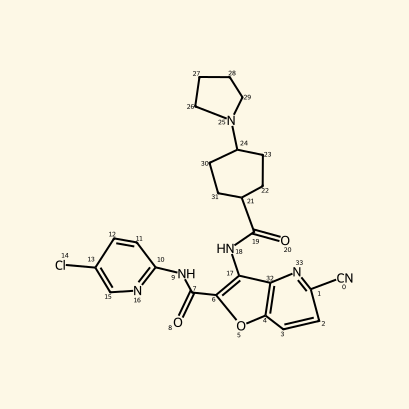 N#Cc1ccc2oc(C(=O)Nc3ccc(Cl)cn3)c(NC(=O)C3CCC(N4CCCC4)CC3)c2n1